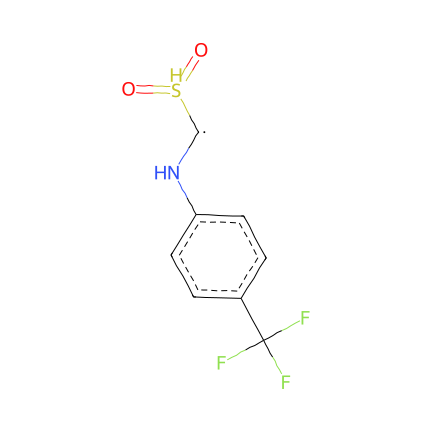 O=[SH](=O)[CH]Nc1ccc(C(F)(F)F)cc1